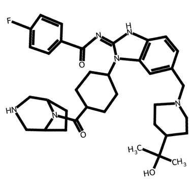 CC(C)(O)C1CCN(Cc2ccc3[nH]/c(=N/C(=O)c4ccc(F)cc4)n(C4CCC(C(=O)N5C6CCC5CNC6)CC4)c3c2)CC1